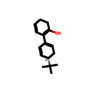 CC(C)(C)[C@@H]1C=CC(C2=C(O)CCC=C2)=CC1